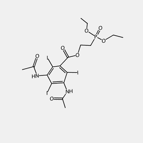 CCOP(=O)(CCOC(=O)c1c(I)c(NC(C)=O)c(I)c(NC(C)=O)c1I)OCC